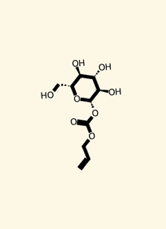 C=CCOC(=O)O[C@@H]1O[C@H](CO)[C@@H](O)[C@H](O)[C@H]1O